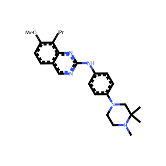 COc1ccc2cnc(Nc3ccc(N4CCN(C)C(C)(C)C4)cc3)nc2c1C(C)C